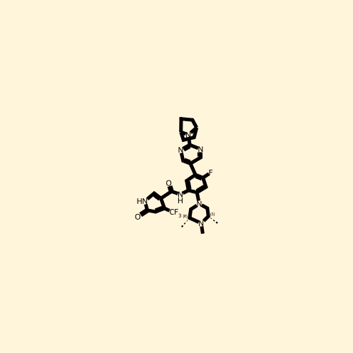 C[C@@H]1CN(c2cc(F)c(-c3cnc(N4C5CCC4CC5)nc3)cc2NC(=O)c2c[nH]c(=O)cc2C(F)(F)F)C[C@H](C)N1C